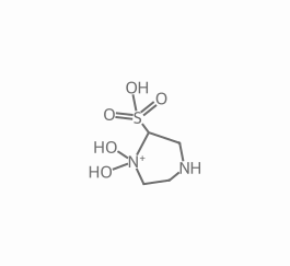 O=S(=O)(O)C1CNCC[N+]1(O)O